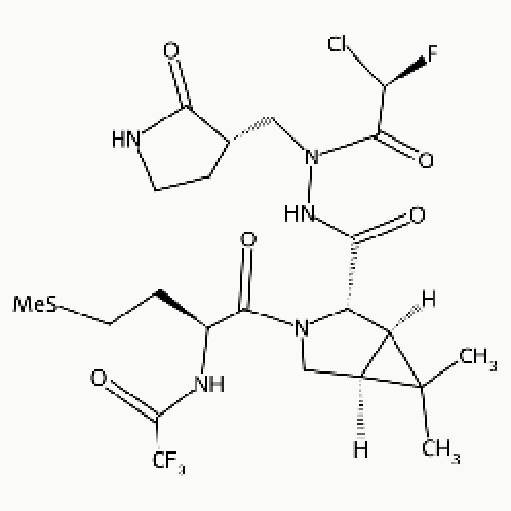 CSCC[C@H](NC(=O)C(F)(F)F)C(=O)N1C[C@H]2[C@@H]([C@H]1C(=O)NN(C[C@@H]1CCNC1=O)C(=O)[C@H](F)Cl)C2(C)C